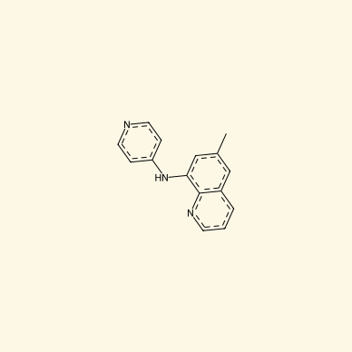 Cc1cc(Nc2ccncc2)c2ncccc2c1